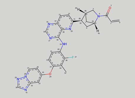 C=CC(=O)N1C[C@@H]2C[C@H]1C[C@H]2c1ccc2ncnc(Nc3ccc(Oc4ccn5ncnc5c4)c(C)c3F)c2n1